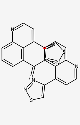 O=C(c1cccc2nccc(-c3csnn3)c12)c1cccc2nccc(-c3csnn3)c12